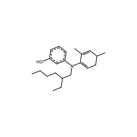 CCCCC(CC)CN(C1=CCC(C)C=C1C)c1cccc(O)c1